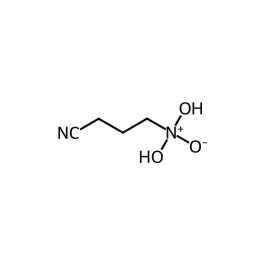 N#CCCC[N+]([O-])(O)O